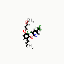 [CH2]CCc1ccc(OCCCOC)cc1Oc1ncc(C(F)(F)F)cc1Cl